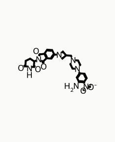 Nc1cc(N2CCN(CC3CN(c4ccc5c(c4)C(=O)N(C4CCC(=O)NC4=O)C5=O)C3)CC2)ccc1[N+](=O)[O-]